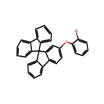 Brc1ccccc1Oc1ccc2c(c1)C1(c3ccccc3-c3ccccc31)c1ccccc1-2